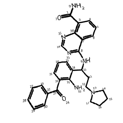 NC(=O)c1cccc2c(NC(CCN3CCCC3)c3cccc(C(=O)c4ccccc4)c3N)ncnc12